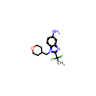 CC(F)(F)c1nc2cc(N)ccc2n1CC1CCOCC1